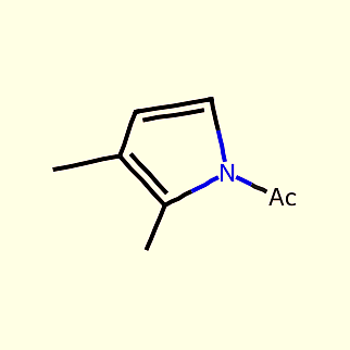 CC(=O)n1ccc(C)c1C